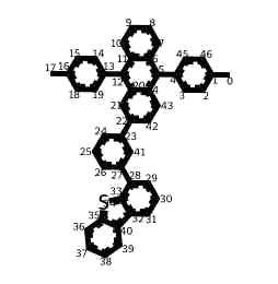 Cc1ccc(-c2c3ccccc3c(-c3ccc(C)cc3)c3cc(-c4cccc(-c5cccc6c5sc5ccccc56)c4)ccc23)cc1